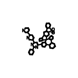 O=S1(=O)c2ccccc2-c2cc3c(cc21)C1(c2ccccc2-c2ccccc2-c2ccc(-c4cc(-c5ccc(-c6cccnc6)nc5)nc(-c5ccccc5)n4)cc21)c1ccccc1-3